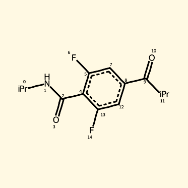 CC(C)NC(=O)c1c(F)cc(C(=O)C(C)C)cc1F